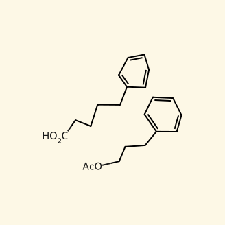 CC(=O)OCCCc1ccccc1.O=C(O)CCCCc1ccccc1